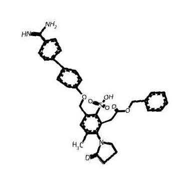 Cc1cc(COc2ccc(-c3ccc(C(=N)N)cc3)cc2)c(S(=O)(=O)O)c(CC(=O)OCc2ccccc2)c1N1CCCC1=O